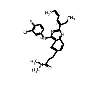 CC/C(=C\C=C/N)c1nc(Nc2ccc(F)c(Cl)c2)c2cc(CCC(=O)N(C)C)ccc2n1